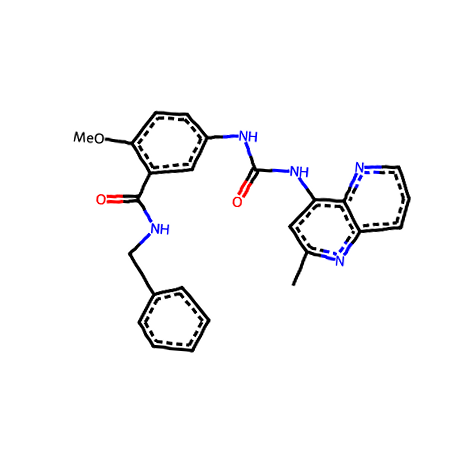 COc1ccc(NC(=O)Nc2cc(C)nc3cccnc23)cc1C(=O)NCc1ccccc1